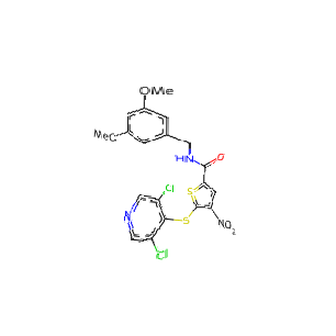 COc1cc(CNC(=O)c2cc([N+](=O)[O-])c(Sc3c(Cl)cncc3Cl)s2)cc(OC)c1